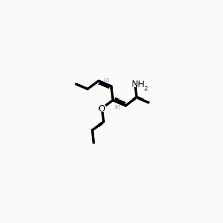 CC/C=C\C(=C/C(C)N)OCCC